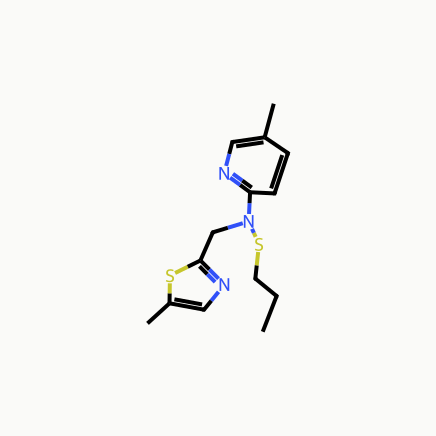 CCCSN(Cc1ncc(C)s1)c1ccc(C)cn1